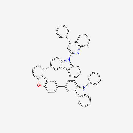 c1ccc(-c2cc(-n3c4ccccc4c4cc(-c5cccc6oc7ccc(-c8ccc9c(c8)c8ccccc8n9-c8ccccc8)cc7c56)ccc43)nc3ccccc23)cc1